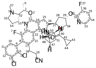 C[C@H](Oc1nc2c(F)c(-c3cccc(Cl)c3Cl)c(CCC#N)cc2c2c1cc([C@H]1C[C@H](Oc3ncccc3F)CN1C(=O)C1CC1)n2[C@H]1[C@H]2CN[C@@H]1C2)[C@@H]1CCCN1C